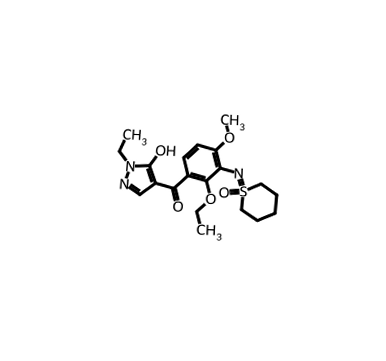 CCOc1c(C(=O)c2cnn(CC)c2O)ccc(OC)c1N=S1(=O)CCCCC1